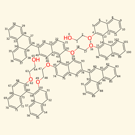 OCCOc1ccc2ccccc2c1-c1c(OCCOc2ccc3cc(-c4cc5ccccc5c5ccccc45)ccc3c2-c2c(OCCOc3ccc4ccccc4c3-c3c(OCCO)ccc4ccccc34)ccc3cc(-c4cc5ccccc5c5ccccc45)ccc23)ccc2ccccc12